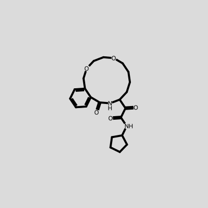 O=C(NC1CCCC1)C(=O)C1CCCCOCCOCc2ccccc2C(=O)N1